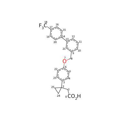 O=C(O)CC1(c2ccc(OCc3cccc(-c4ccc(C(F)(F)F)cc4)c3)cc2)CC1